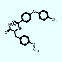 CNC(=O)C(Cc1ccc(OC(F)(F)F)cc1)NC(=O)c1ccc(Oc2ccc(C(F)(F)F)cc2)cc1